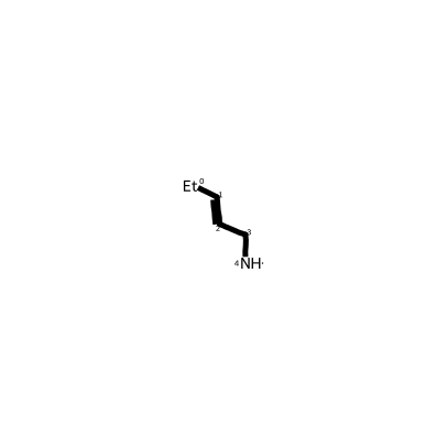 CCC=CC[NH]